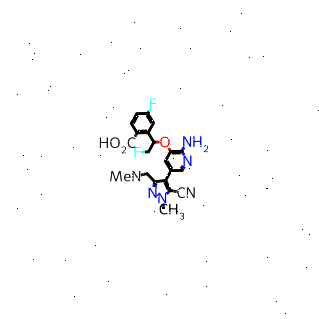 CNCc1nn(C)c(C#N)c1-c1cnc(N)c(OC(CF)c2cc(F)ccc2C(=O)O)c1